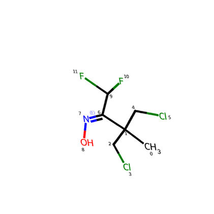 CC(CCl)(CCl)/C(=N\O)C(F)F